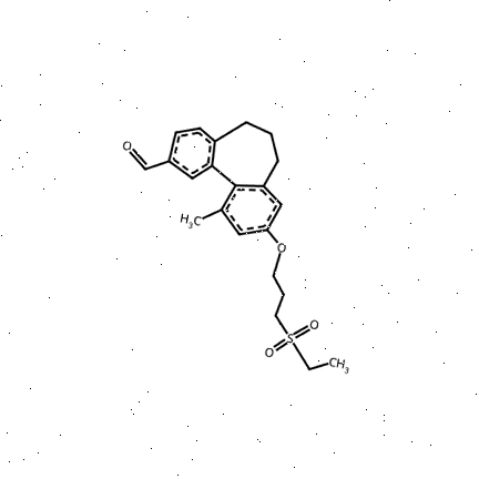 CCS(=O)(=O)CCCOc1cc(C)c2c(c1)CCCc1ccc(C=O)cc1-2